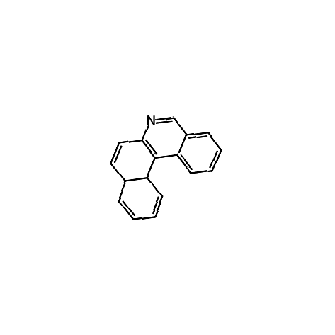 C1=CC2C=Cc3ncc4ccccc4c3C2C=C1